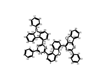 c1ccc(-c2nc(-c3cccc4oc5c(-c6nc(-c7ccccc7)nc7c6oc6ccccc67)cccc5c34)nc(-c3cccc4c3c3ccccc3n4-c3ccccc3)n2)cc1